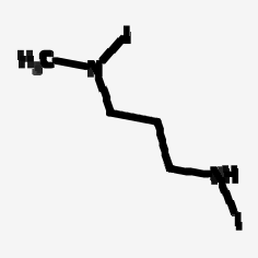 CN(I)CCCNI